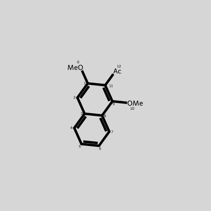 COc1cc2ccccc2c(OC)c1C(C)=O